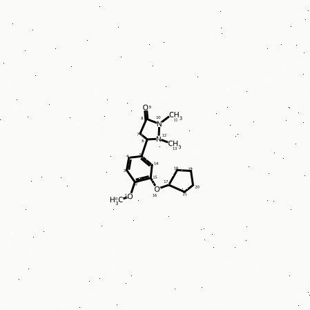 COc1ccc(C2CC(=O)N(C)N2C)cc1OC1CCCC1